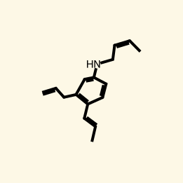 C=CCc1cc(NC/C=C\C)ccc1/C=C/C